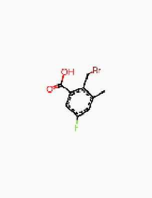 Cc1cc(F)cc(C(=O)O)c1CBr